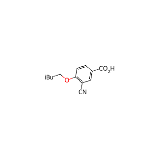 CCC(C)COc1ccc(C(=O)O)cc1C#N